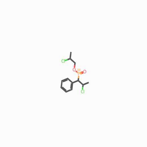 CC(Cl)CO[PH](=O)C(c1ccccc1)C(C)Cl